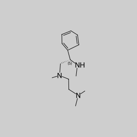 CN[C@H](CN(C)CCN(C)C)c1ccccc1